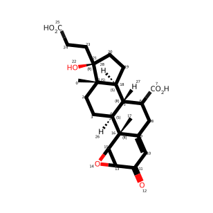 C[C@]12CC[C@H]3[C@@H](C(C(=O)O)CC4=CC(=O)C5OC5[C@@]43C)[C@@H]1CC[C@@]2(O)CCC(=O)O